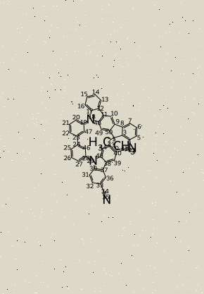 CC1(C)c2ccccc2-c2cc3c4ccccc4n(-c4cccc(-c5cccc(-n6c7ccc(C#N)cc7c7cc(C#N)ccc76)c5)c4)c3cc21